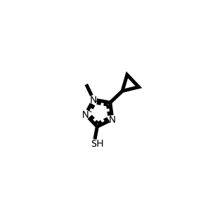 Cn1nc(S)nc1C1CC1